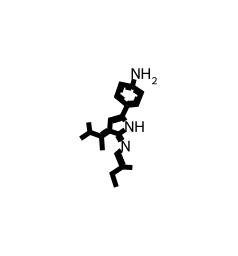 CC/C(C)=C/N=C1/NC(c2ccc(N)cc2)=C/C1=C(/C)C(C)C